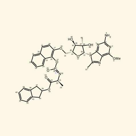 COc1nc(N)nc2c1nc(I)n2[C@@H]1O[C@H](COc2ccc3ccccc3c2O/[P+]([O-])=N/[C@@H](C)C(=O)OC2Cc3ccccc3C2)[C@@H](O)[C@@]1(C)O